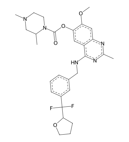 COc1cc2nc(C)nc(NCc3cccc(C(F)(F)C4CCCO4)c3)c2cc1OC(=O)N1CCN(C)CC1C